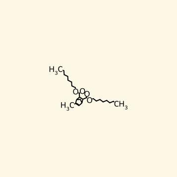 CCCCCCCCOC(=O)C1C2C=C(C)C(C2)C1C(=O)OCCCCCCCC